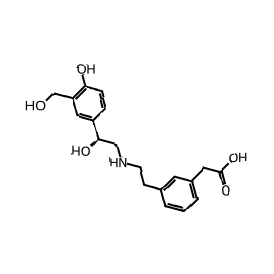 O=C(O)Cc1cccc(CCNC[C@@H](O)c2ccc(O)c(CO)c2)c1